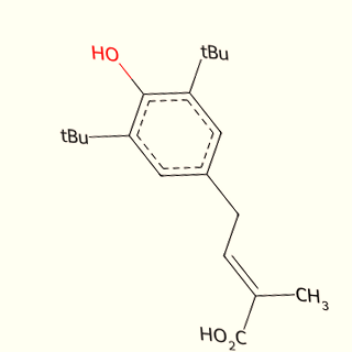 CC(=CCc1cc(C(C)(C)C)c(O)c(C(C)(C)C)c1)C(=O)O